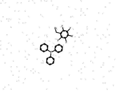 Fc1c(F)c(F)c(CBr)c(F)c1F.c1ccc(P(c2ccccc2)c2ccccc2)cc1